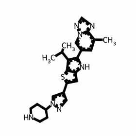 Cc1cc(-c2[nH]c3cc(-c4cnn(C5CCNCC5)c4)sc3c2C(C)C)cn2ncnc12